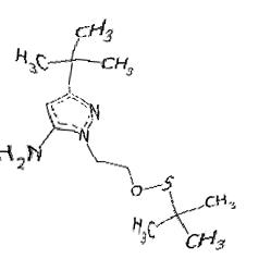 CC(C)(C)SOCCn1nc(C(C)(C)C)cc1N